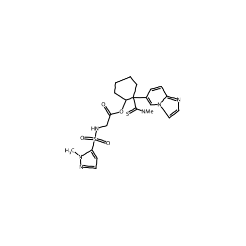 CNC(=S)C1(c2ccc3nccn3c2)CCCCC1OC(=O)CNS(=O)(=O)c1ccnn1C